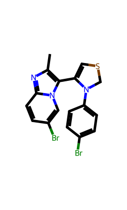 Cc1nc2ccc(Br)cn2c1C1=CSCN1c1ccc(Br)cc1